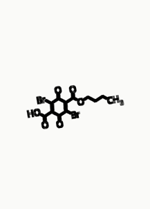 CCCCOC(=O)C1=C(Br)C(=O)C(C(=O)O)=C(Br)C1=O